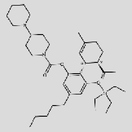 C=C(C)[C@@H]1CCC(C)=C[C@H]1c1c(OC(=O)N2CCC(N3CCCCC3)CC2)cc(CCCCC)cc1O[Si](CC)(CC)CC